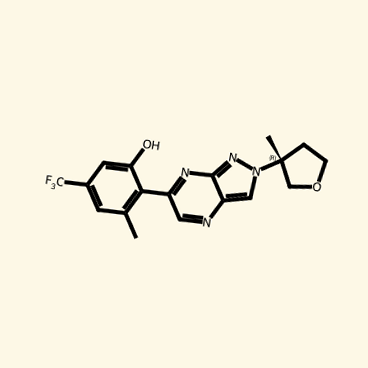 Cc1cc(C(F)(F)F)cc(O)c1-c1cnc2cn([C@]3(C)CCOC3)nc2n1